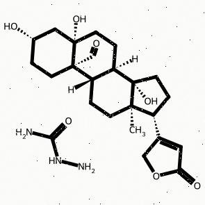 C[C@]12CC[C@H]3[C@@H](CC[C@]4(O)C[C@@H](O)CC[C@]34C=O)[C@@]1(O)CC[C@@H]2C1=CC(=O)OC1.NNC(N)=O